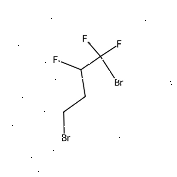 FC(CCBr)C(F)(F)Br